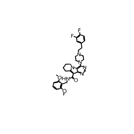 COc1cccc(OC)c1CNC(=O)c1c2n(c3c(N4CCN(CCc5ccc(F)c(F)c5)CC4)ncnc13)CCCC2